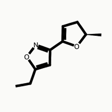 CCc1cc(C2=CC[C@@H](C)O2)no1